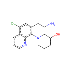 NCCc1cc(Cl)c2cccnc2c1N1CCCC(O)C1